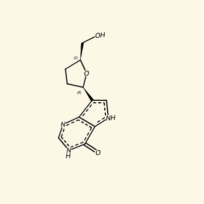 O=c1[nH]cnc2c([C@H]3CC[C@@H](CO)O3)c[nH]c12